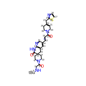 CC(C)(C)NCC(=O)N1CCC2(CC1)Cc1cc(/C=C/C(=O)N3CC=C(Cc4nccs4)CC3)cnc1NC2=O